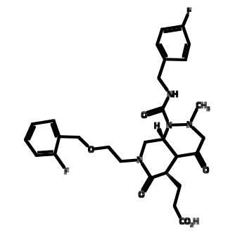 CN1CC(=O)C2[C@@H](CCC(=O)O)C(=O)N(CCOCc3ccccc3F)C[C@@H]2N1C(=O)NCc1ccc(F)cc1